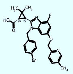 Cc1ccc(COc2cc(F)c3nc([C@@H]4[C@H](C(=O)O)C4(C)C)n(Cc4ccc(Br)cc4)c3c2)nc1